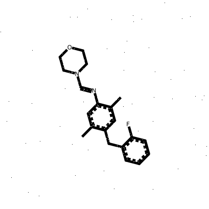 Cc1cc(/N=C/N2CCOCC2)c(C)cc1Cc1ccccc1F